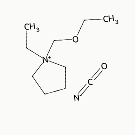 CCOC[N+]1(CC)CCCC1.[N-]=C=O